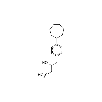 O=C(O)CC(O)Cc1ccc(C2CCCCCC2)cc1